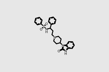 O=c1[nH]c2ccccc2n1C1CCN(CCC(NS(=O)(=O)c2ccccc2)c2ccccc2)CC1